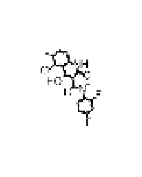 Cc1ccc2[nH]c(=O)c(C(=O)N(C)c3ccc(F)cc3F)c(O)c2c1Cl